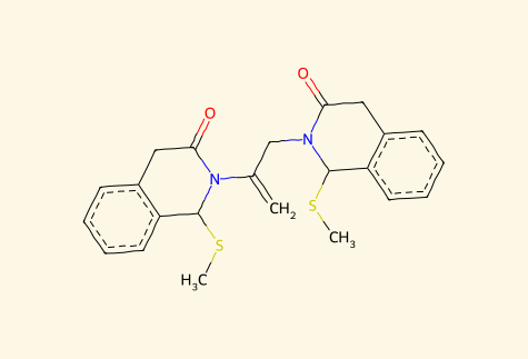 C=C(CN1C(=O)Cc2ccccc2C1SC)N1C(=O)Cc2ccccc2C1SC